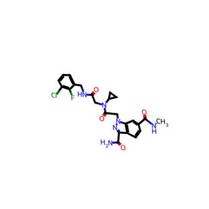 CNC(=O)c1ccc2c(C(N)=O)nn(CC(=O)N(CC(=O)NCc3cccc(Cl)c3F)C3CC3)c2c1